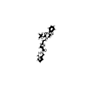 Cn1nccc1CNC(=O)c1csc(CCN(Cc2nc3ccccc3[nH]2)C(=O)OC(C)(C)C)n1